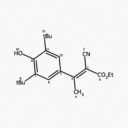 CCOC(=O)C(C#N)=C(C)c1cc(C(C)(C)C)c(O)c(C(C)(C)C)c1